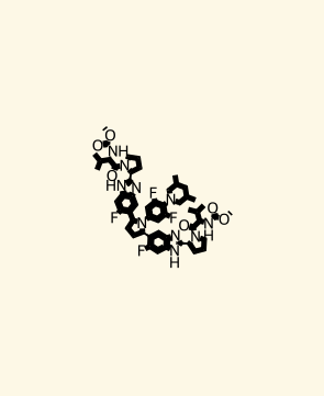 COC(=O)NC(C(=O)N1CCC[C@H]1c1nc2cc([C@H]3CCC(c4cc5nc([C@@H]6CCCN6C(=O)[C@@H](NC(=O)OC)C(C)C)[nH]c5cc4F)N3c3cc(F)c(N4CC(C)CC(C)C4)c(F)c3)c(F)cc2[nH]1)C(C)C